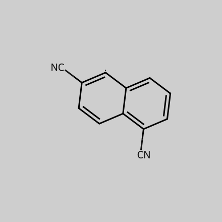 N#Cc1[c]c2cccc(C#N)c2cc1